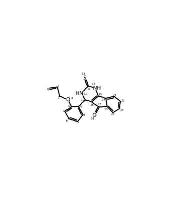 C=CCOc1ccccc1C1NC(=S)NC2=C1C(=O)c1ccccc12